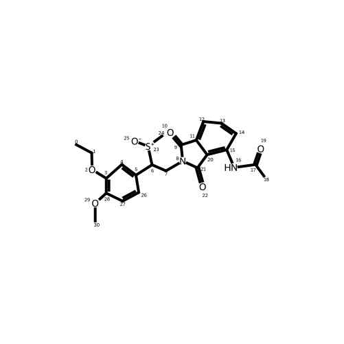 CCOc1cc(C(CN2C(=O)c3cccc(NC(C)=O)c3C2=O)[S+](C)[O-])ccc1OC